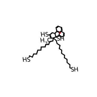 CC1=C(S)CC(c2ccccc2)C(S)(c2ccccc2)C1(CCCCCCCCCCCCS)CCCCCCCCCCCCS